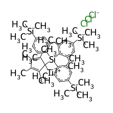 CC1=C(C)[C]([Ti+3])([Si](c2c(C)cc([Si](C)(C)C)cc2C)(c2c(C)cc([Si](C)(C)C)cc2C)c2c(C)cc([Si](C)(C)C)cc2C)C(C)=C1C.[Cl-].[Cl-].[Cl-]